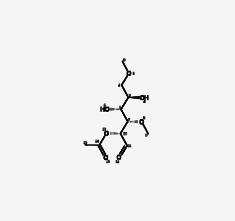 COC[C@@H](O)[C@@H](O)[C@H](OC)[C@H](C=O)OC(C)=O